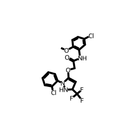 COc1ccc(Cl)cc1NC(=O)COC1=CC(C(F)(F)F)NN1c1ccccc1Cl